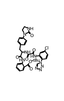 CC(C)(C)OC(=O)c1ccccc1NC(=O)C(Cc1ccc(N2CCNC2=O)cc1)NC(=O)C(=O)Nc1cc(Cl)ccc1-n1cnnn1